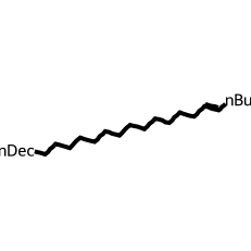 CCCC/C=C/CCCCCCCCCCCCCCCCCCCCCCC